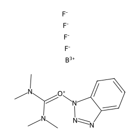 CN(C)C(=[O+]n1nnc2ccccc21)N(C)C.[B+3].[F-].[F-].[F-].[F-]